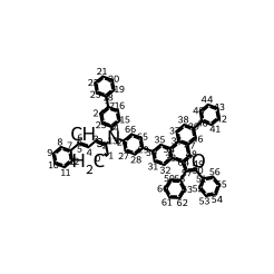 C=C/C(=C\C=C(/C)c1ccccc1)N(c1ccc(-c2ccccc2)cc1)c1ccc(-c2ccc3c(c2)c2ccc(-c4ccccc4)cc2c2oc(-c4ccccc4)c(-c4ccccc4)c32)cc1